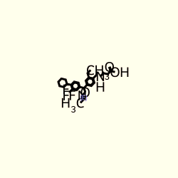 C/C=N/OC(c1ccc(CNCCC(=O)O)c(CC)c1)c1ccc(C2CCCCC2)c(C(F)(F)F)c1